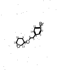 Brc1ccc(CCOC2CCCOC2)cc1